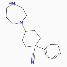 N#CC1(c2ccccc2)CCC(N2CCCNCC2)CC1